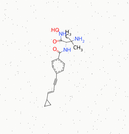 CC(C)(N)[C@H](NC(=O)c1ccc(C#C/C=C/C2CC2)cc1)C(=O)NO